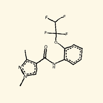 Cc1nn(C)cc1C(=O)Nc1ccccc1OC(F)(F)C(F)F